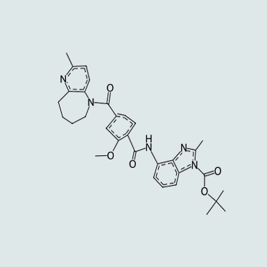 COc1cc(C(=O)N2CCCCc3nc(C)ccc32)ccc1C(=O)Nc1cccc2c1nc(C)n2C(=O)OC(C)(C)C